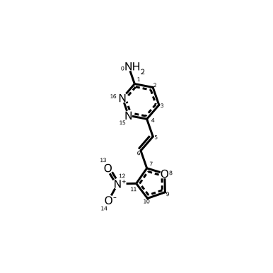 Nc1ccc(C=Cc2occc2[N+](=O)[O-])nn1